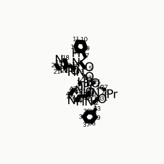 CC(C)C[C@H](NC(=O)[C@H](Cc1ccccc1)NC(=O)c1cnccn1)OBO[C@H](CC(C)C)NC(=O)[C@H](Cc1ccccc1)NC(=O)c1cnccn1